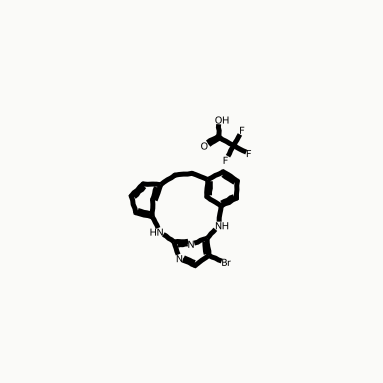 Brc1cnc2nc1Nc1cccc(c1)CCc1cccc(c1)N2.O=C(O)C(F)(F)F